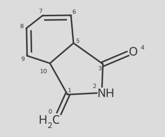 C=C1NC(=O)C2C=CC=CC12